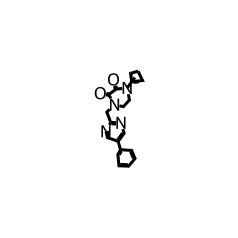 O=C1C(=O)N(C23CC(C2)C3)CCN1Cc1ncc(-c2ccccc2)cn1